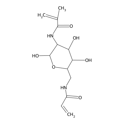 C=CC(=O)NCC1OC(O)C(NC(=O)C(=C)C)C(O)C1O